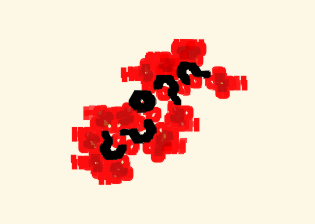 O=S(=O)(O)OC[C@H]1O[C@@H](Oc2cccc(O[C@@H]3O[C@H](COS(=O)(=O)O)[C@@H](O[C@@H]4O[C@H](COS(=O)(=O)O)[C@@H](OS(=O)(=O)O)[C@H](OS(=O)(=O)O)[C@H]4OS(=O)(=O)O)[C@H](OS(=O)(=O)O)[C@H]3OS(=O)(=O)O)c2)[C@H](OS(=O)(=O)O)[C@@H](OS(=O)(=O)O)[C@@H]1O[C@@H]1O[C@H](COS(=O)(=O)O)[C@@H](OS(=O)(=O)O)[C@H](OS(=O)(=O)O)[C@H]1OS(=O)(=O)O